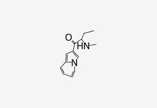 CCC(NC)C(=O)c1cc2ccccn2c1